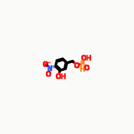 O=[N+]([O-])c1ccc(CO[PH](=O)O)cc1O